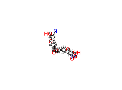 N#Cc1ccc(Oc2ccc(C34CC5CC(c6ccc(Oc7ccc([N+](=O)[O-])c(O)c7)cc6)(C3)OC(C4)O5)cc2)cc1O